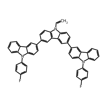 C=Cn1c2ccc(-c3ccc4c(c3)c3ccccc3n4-c3ccc(F)cc3)cc2c2cc(-c3ccc4c(c3)c3ccccc3n4-c3ccc(F)cc3)ccc21